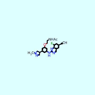 C#Cc1cc(F)c2nc(Nc3cc(OCCNC(C)=O)cc(C4C=NN(C)C4)c3)ncc2c1